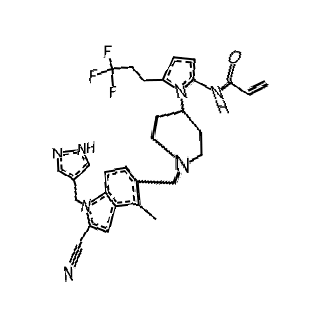 C=CC(=O)Nc1ccc(CCC(F)(F)F)n1C1CCN(Cc2ccc3c(cc(C#N)n3Cc3cn[nH]c3)c2C)CC1